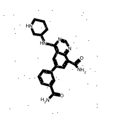 NC(=O)c1cccc(-c2cc(C(N)=O)c3ncnc(NC4CCCNC4)c3c2)c1